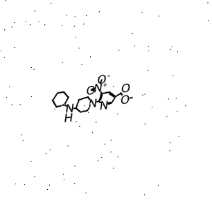 COC(=O)c1cnc(N2CCC(NC3CCCCC3)CC2)c([N+](=O)[O-])c1